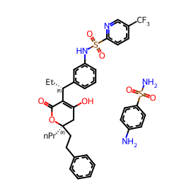 CCC[C@@]1(CCc2ccccc2)CC(O)=C([C@H](CC)c2cccc(NS(=O)(=O)c3ccc(C(F)(F)F)cn3)c2)C(=O)O1.Nc1ccc(S(N)(=O)=O)cc1